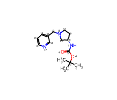 CC(C)(C)OC(=O)N[C@H]1CCN(Cc2cccnc2)C1